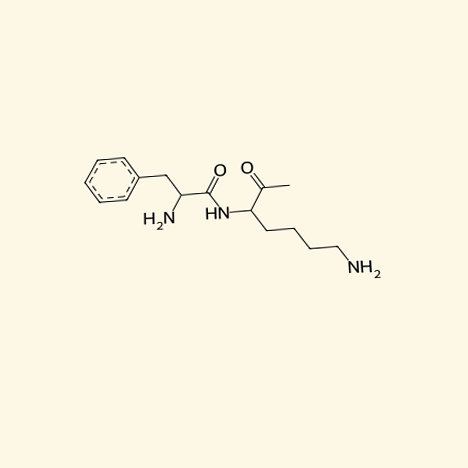 CC(=O)C(CCCCN)NC(=O)C(N)Cc1ccccc1